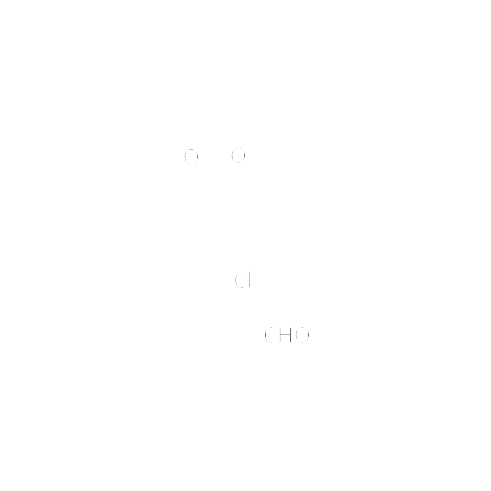 C1COOC1.O=CCl